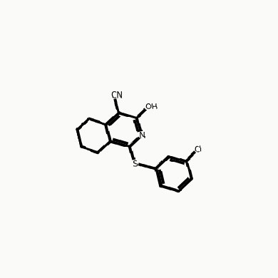 N#Cc1c(O)nc(Sc2cccc(Cl)c2)c2c1CCCC2